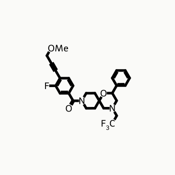 COCC#Cc1ccc(C(=O)N2CCC3(CC2)CN(CC(F)(F)F)CC(c2ccccc2)O3)cc1F